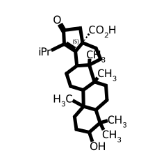 CC(C)C1=C2C3CCC4C5(C)CCC(O)C(C)(C)C5CCC4(C)C3(C)CC[C@]2(C(=O)O)CC1=O